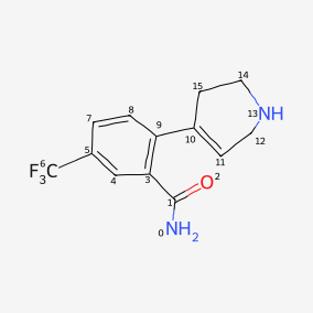 NC(=O)c1cc(C(F)(F)F)ccc1C1=CCNCC1